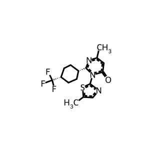 Cc1cc(=O)n(-c2ncc(C)s2)c([C@H]2CC[C@@H](C(F)(F)F)CC2)n1